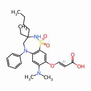 CCCCC1(CC)CN(c2ccccc2)c2cc(N(C)C)c(O/C=C/C(=O)O)cc2S(=O)(=O)N1